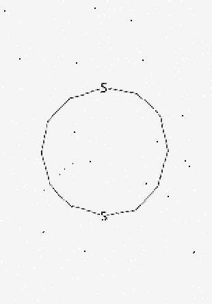 C1CCSCCCCCSCC1